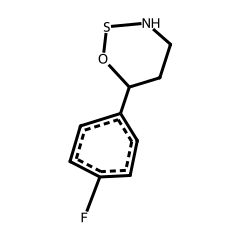 Fc1ccc(C2CCNSO2)cc1